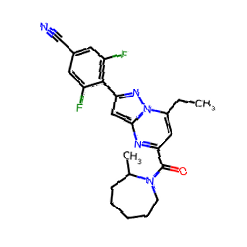 CCc1cc(C(=O)N2CCCCCC2C)nc2cc(-c3c(F)cc(C#N)cc3F)nn12